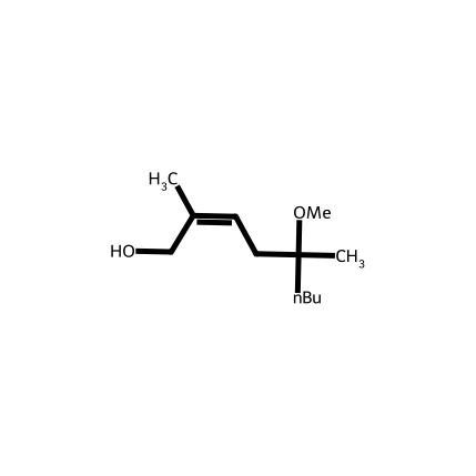 CCCCC(C)(CC=C(C)CO)OC